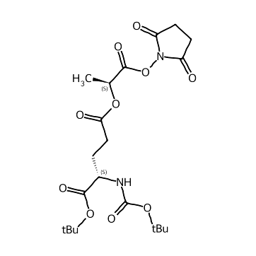 C[C@H](OC(=O)CC[C@H](NC(=O)OC(C)(C)C)C(=O)OC(C)(C)C)C(=O)ON1C(=O)CCC1=O